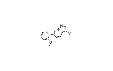 COc1ccccc1-c1ccc2c(Br)cnn2c1